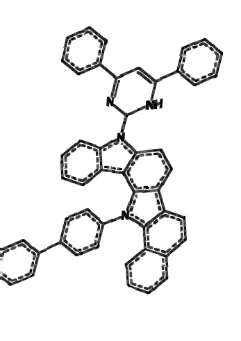 C1=C(c2ccccc2)NC(n2c3ccccc3c3c4c(ccc32)c2ccc3ccccc3c2n4-c2ccc(-c3ccccc3)cc2)N=C1c1ccccc1